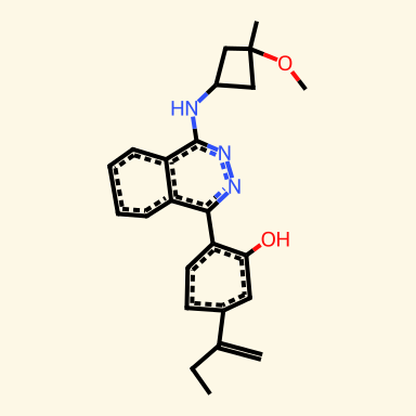 C=C(CC)c1ccc(-c2nnc(NC3CC(C)(OC)C3)c3ccccc23)c(O)c1